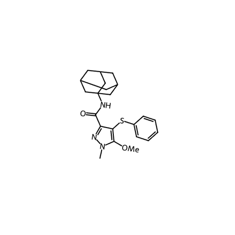 COc1c(Sc2ccccc2)c(C(=O)NC23CC4CC(CC(C4)C2)C3)nn1C